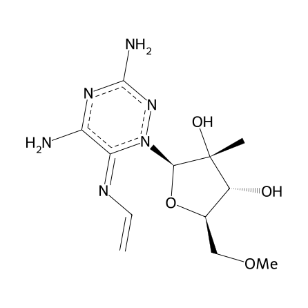 C=C/N=c1/c(N)nc(N)nn1[C@@H]1O[C@H](COC)[C@@H](O)[C@@]1(C)O